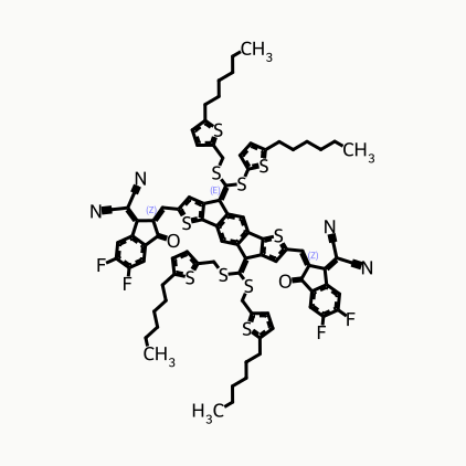 CCCCCCc1ccc(CSC(SCc2ccc(CCCCCC)s2)=C2c3cc4c(cc3-c3sc(/C=C5\C(=O)c6cc(F)c(F)cc6C5=C(C#N)C#N)cc32)/C(=C(/SCc2ccc(CCCCCC)s2)Sc2ccc(CCCCCC)s2)c2cc(/C=C3\C(=O)c5cc(F)c(F)cc5C3=C(C#N)C#N)sc2-4)s1